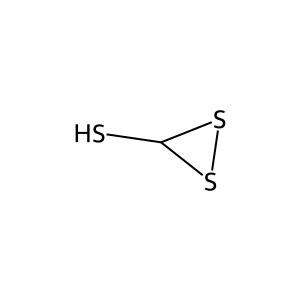 SC1SS1